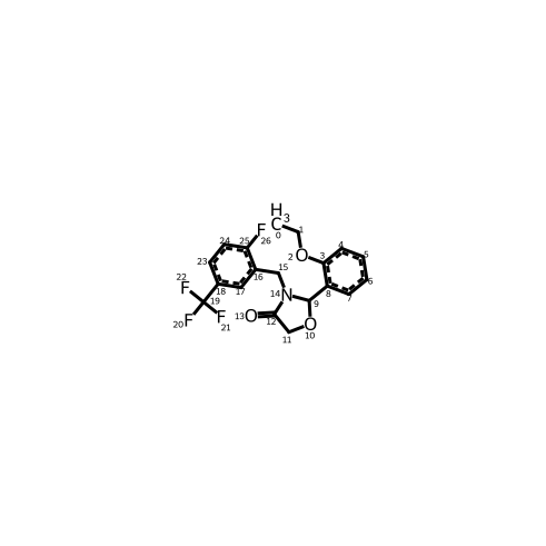 CCOc1ccccc1C1OCC(=O)N1Cc1cc(C(F)(F)F)ccc1F